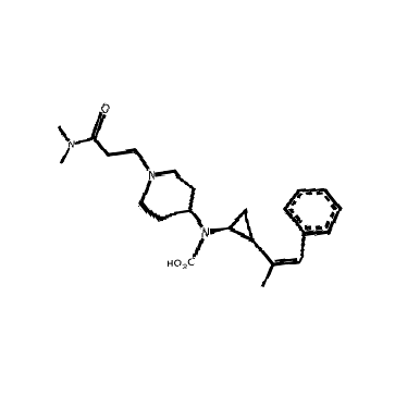 CC(=Cc1ccccc1)C1C[C@@H]1N(C(=O)O)C1CCN(CCC(=O)N(C)C)CC1